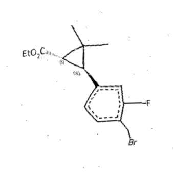 CCOC(=O)[C@H]1[C@H](c2ccc(Br)c(F)c2)C1(C)C